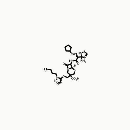 NCCCn1nnnc1SCC1(C(=O)O)CS[C@@H]2C(NC(=O)C(=NOC3CCCC3)C3(N)N=CSN3)C(=O)N2C1